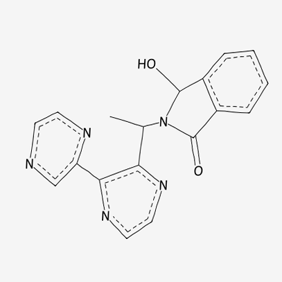 CC(c1nccnc1-c1cnccn1)N1C(=O)c2ccccc2C1O